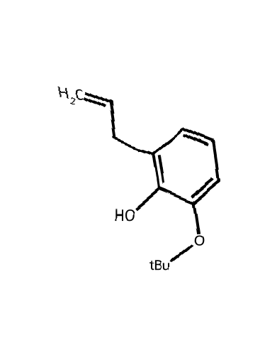 C=CCc1cccc(OC(C)(C)C)c1O